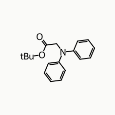 CC(C)(C)OC(=O)CN(c1ccccc1)c1ccccc1